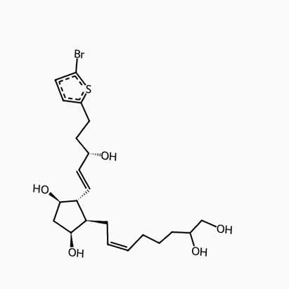 OCC(O)CCC/C=C\C[C@@H]1[C@@H](C=C[C@@H](O)CCc2ccc(Br)s2)[C@H](O)C[C@@H]1O